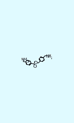 NCc1ccc(COC(=O)c2ccc(CN)cc2)cc1